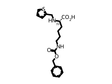 O=C(NCCCC[C@H](NCc1cccs1)C(=O)O)OCc1ccccc1